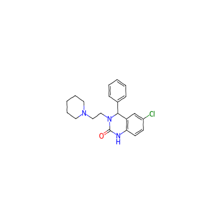 O=C1Nc2ccc(Cl)cc2C(c2ccccc2)N1CCN1CCCCC1